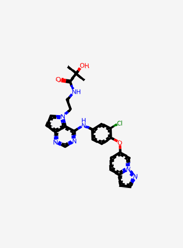 CC(C)(O)C(=O)NCCn1ccc2ncnc(Nc3ccc(Oc4ccc5ccnn5c4)c(Cl)c3)c21